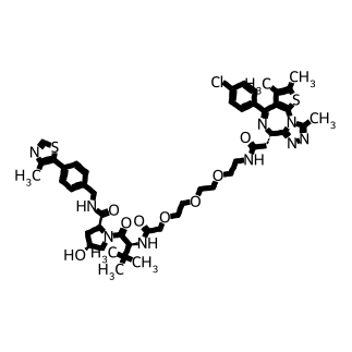 Cc1ncsc1-c1ccc(CNC(=O)[C@@H]2C[C@H](O)CN2C(=O)[C@@H](NC(=O)COCCOCCOCCNC(=O)C[C@@H]2N=C(c3ccc(Cl)cc3)c3c(sc(C)c3C)-n3c(C)nnc32)C(C)(C)C)cc1